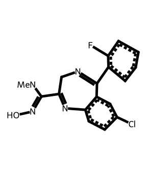 CNC(=NO)C1=Nc2ccc(Cl)cc2C(c2ccccc2F)=NC1